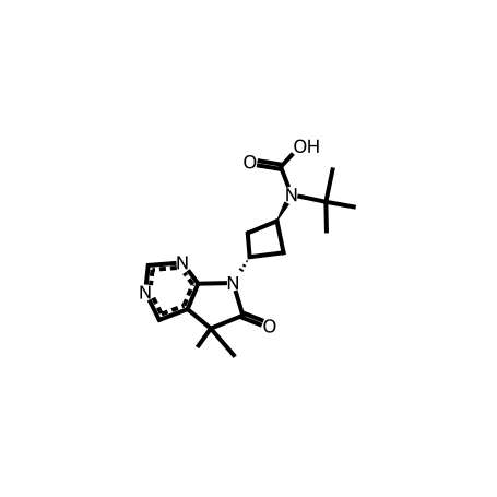 CC1(C)C(=O)N([C@H]2C[C@H](N(C(=O)O)C(C)(C)C)C2)c2ncncc21